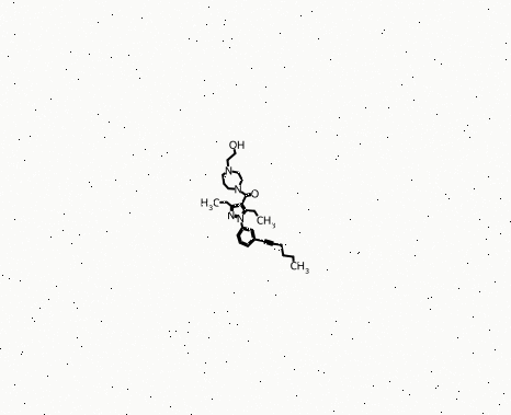 CCCCC#Cc1cccc(-n2nc(CC)c(C(=O)N3CCCN(CCO)CC3)c2CC)c1